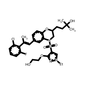 CCn1cc(S(=O)(=O)N2CC(CCC(C)(C)O)Oc3ccc(C=C(C)c4c(F)cccc4Cl)cc32)c(OCCO)n1